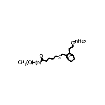 CCCCCCOCCC1C2CCC(O2)C1CSCCCCC(=O)N(C)O